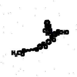 C=CC(=O)OCCCCCCOc1ccc(OC(=O)[C@H]2CC[C@H](C(=O)Oc3ccc(OC=O)cc3/C=N/N(C(=O)CCCCCCC)c3nc4ccccc4s3)CC2)cc1